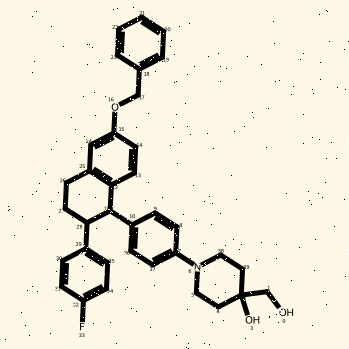 OCC1(O)CCN(c2ccc(C3c4ccc(OCc5ccccc5)cc4CCC3c3ccc(F)cc3)cc2)CC1